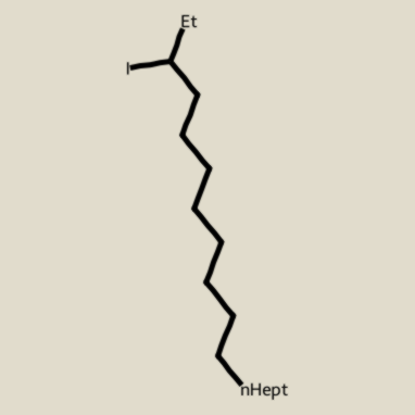 CCCCCCCCCCCCCCCC(I)CC